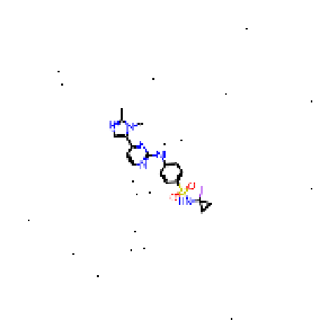 Cc1ncc(-c2ccnc(Nc3ccc(S(=O)(=O)NC4(I)CC4)cc3)n2)n1C